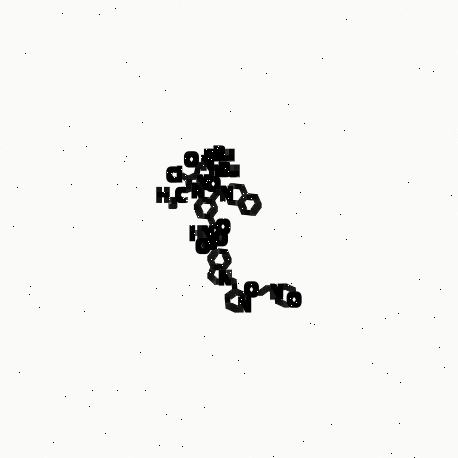 CCCCN(CCCC)C(=O)c1nn(-c2ccc(C(=O)NS(=O)(=O)c3ccc4c(c3)CCN4Cc3cccnc3OCCN3CCOCC3)cc2C(=O)N2CCc3ccccc3C2)c(C)c1Cl